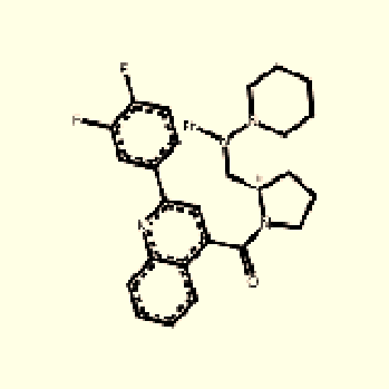 CCN(C[C@H]1CCCN1C(=O)c1cc(-c2ccc(F)c(F)c2)nc2ccccc12)N1CCCCC1